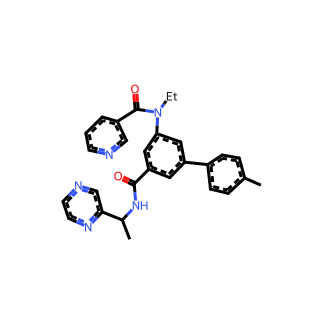 CCN(C(=O)c1cccnc1)c1cc(C(=O)NC(C)c2cnccn2)cc(-c2ccc(C)cc2)c1